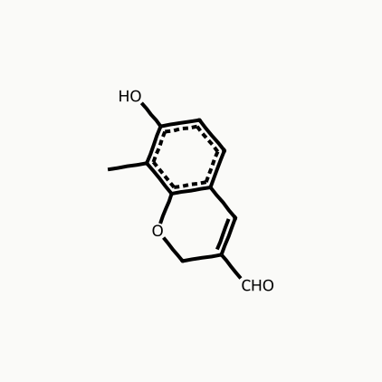 Cc1c(O)ccc2c1OCC(C=O)=C2